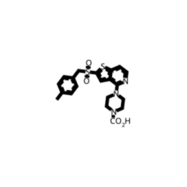 Cc1ccc(CS(=O)(=O)c2cc3c(N4CCN(C(=O)O)CC4)nccc3s2)cc1